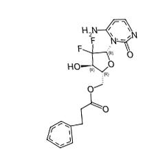 Nc1ccnc(=O)n1[C@@H]1O[C@H](COC(=O)CCc2ccccc2)[C@@H](O)C1(F)F